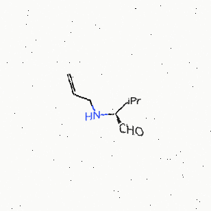 C=CCN[C@H](C=O)C(C)C